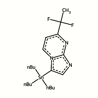 CCC[CH2][Sn]([CH2]CCC)([CH2]CCC)[c]1cnc2nc(C(C)(F)F)ccn12